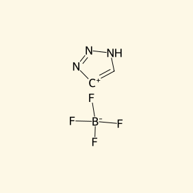 F[B-](F)(F)F.[C+]1=CNN=N1